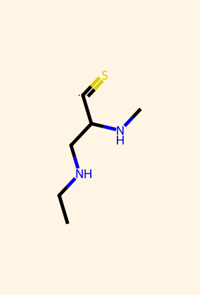 CCNCC([C]=S)NC